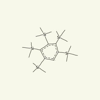 C[Si](C)(C)c1[c]c([Si](C)(C)C)c([Si](C)(C)C)c([Si](C)(C)C)c1[Si](C)(C)C